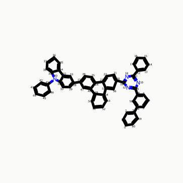 c1ccc(-c2cccc(-c3nc(-c4ccccc4)nc(-c4ccc5c6ccc(-c7ccc8c(c7)c7ccccc7n8-c7ccccc7)cc6c6ccccc6c5c4)n3)c2)cc1